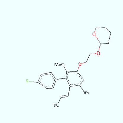 COc1c(OCCOC2CCCCO2)cc(C(C)C)c(C=CC#N)c1-c1ccc(F)cc1